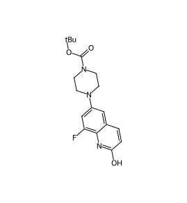 CC(C)(C)OC(=O)N1CCN(c2cc(F)c3nc(O)ccc3c2)CC1